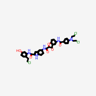 O=C(Nc1ccc2c(c1)C(=O)C(C(=O)Nc1ccc3[nH]c(C(=O)Nc4cc(O)ccc4CCCl)cc3c1)O2)c1ccc(N(CCCl)CCCl)cc1